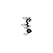 CS(=O)(=O)C(N)CC[C@H](N)C(=O)Nc1cccc(C(F)(F)F)c1